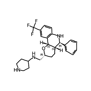 FC(F)(F)c1ccc2c(c1)[C@H]1O[C@@H](CNC3CCNCC3)CC[C@H]1[C@H](c1ccccc1)N2